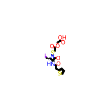 O=C(O)COC(=O)CSN1C(=O)[C@@H](NC(=O)Cc2cccs2)[C@H]1CI